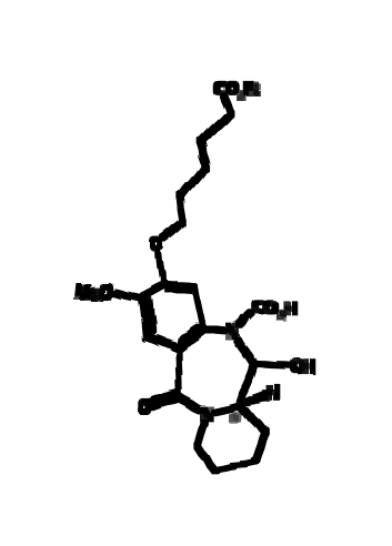 CCOC(=O)CCCCCOc1cc2c(cc1OC)C(=O)N1CCCC[C@H]1C(O)N2C(=O)O